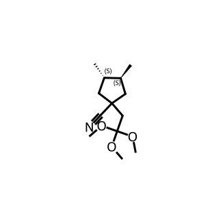 COC(CC1(C#N)C[C@H](C)[C@@H](C)C1)(OC)OC